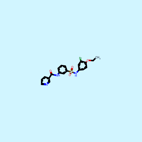 CCOc1ccc(NS(=O)(=O)c2cccc(NC(=O)c3cccnc3)c2)cc1Br